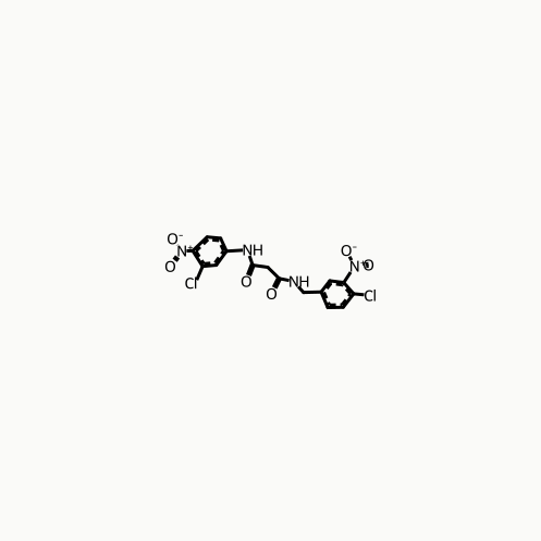 O=C(CC(=O)Nc1ccc([N+](=O)[O-])c(Cl)c1)NCc1ccc(Cl)c([N+](=O)[O-])c1